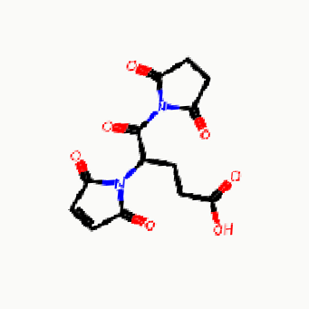 O=C(O)CCC(C(=O)N1C(=O)CCC1=O)N1C(=O)C=CC1=O